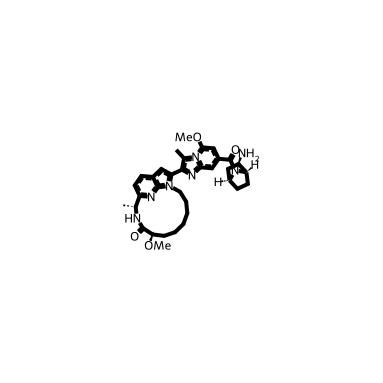 COc1cc(C(=O)N2[C@H]3CC[C@@H]2[C@H](N)C3)cc2nc(-c3cc4ccc5nc4n3CCCCCC[C@@H](OC)C(=O)N[C@@H]5C)c(C)n12